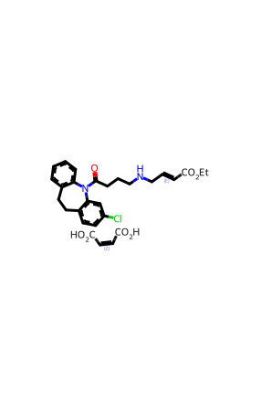 CCOC(=O)/C=C/CNCCCC(=O)N1c2ccccc2CCc2ccc(Cl)cc21.O=C(O)/C=C\C(=O)O